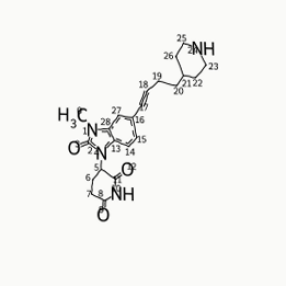 Cn1c(=O)n(C2CCC(=O)NC2=O)c2ccc(C#CCCC3CCNCC3)cc21